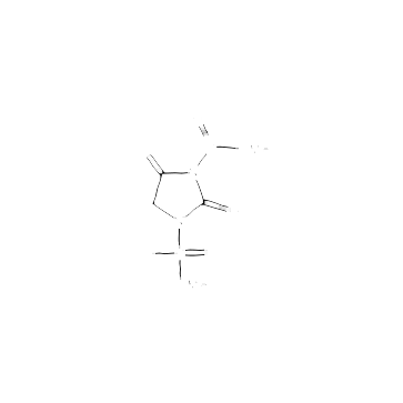 CO[PH](=O)N1C(=O)CN(P(=O)(O)OC)C1=O